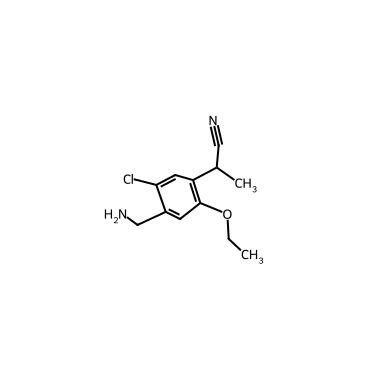 CCOc1cc(CN)c(Cl)cc1C(C)C#N